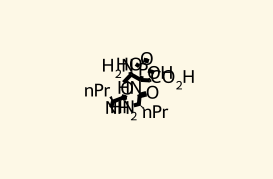 CCC[C@H](NC(=O)[C@@H](N)CCC)C(=O)NC(CC(=O)O)(C(C)N)P(=O)(O)O